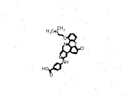 CN(C)CCOc1cccc(F)c1C1=NCc2cnc(Nc3ccc(C(=O)O)cc3)cc2-c2ccc(Cl)cc21